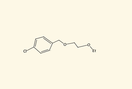 CCOCCOCc1[c]cc(Cl)cc1